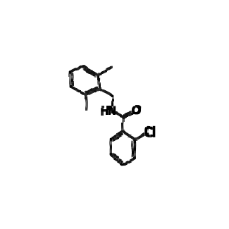 Cc1cccc(C)c1CNC(=O)c1ccccc1Cl